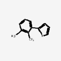 Cc1cccc(C2=CC=C[N]2)c1C